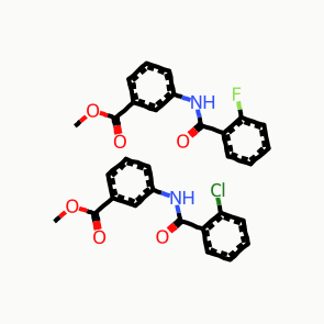 COC(=O)c1cccc(NC(=O)c2ccccc2Cl)c1.COC(=O)c1cccc(NC(=O)c2ccccc2F)c1